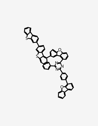 c1ccc(-c2nc(-c3ccc(-c4cccc5c4oc4ccccc45)cc3)nc(-c3cccc4oc5ccc(-c6cccc7sc8cc(-c9ccc%10c(c9)sc9ccccc9%10)ccc8c67)cc5c34)n2)cc1